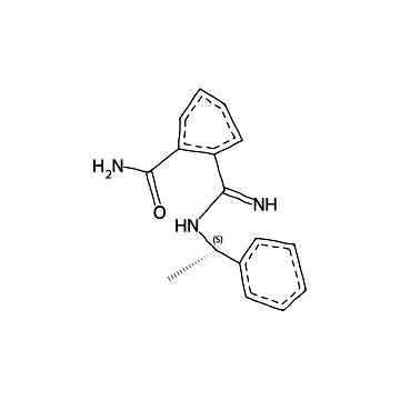 C[C@H](NC(=N)c1ccccc1C(N)=O)c1ccccc1